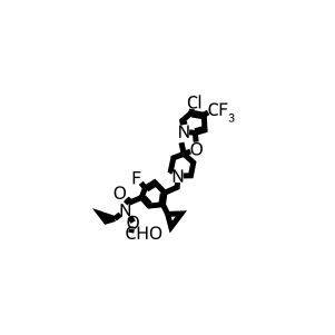 CC1(Oc2cc(C(F)(F)F)c(Cl)cn2)CCN(Cc2cc(F)c(C(=O)N(OC=O)C3CC3)cc2C2CC2)CC1